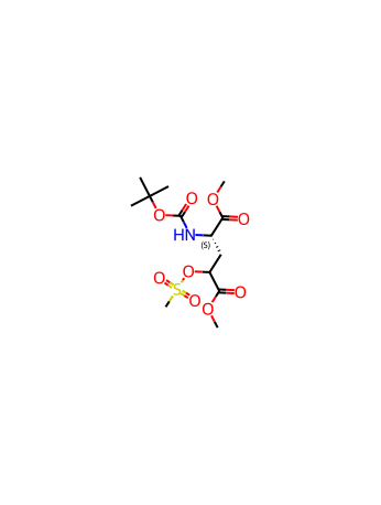 COC(=O)C(C[C@H](NC(=O)OC(C)(C)C)C(=O)OC)OS(C)(=O)=O